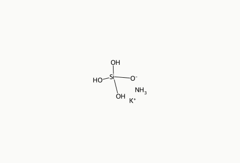 N.[K+].[O-][Si](O)(O)O